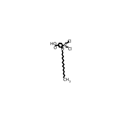 CCCCCCCCCCCCCCCCOc1cc(C(=O)O)ccc1N(CCCl)CCCl